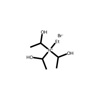 CC[N+](C(C)O)(C(C)O)C(C)O.[Br-]